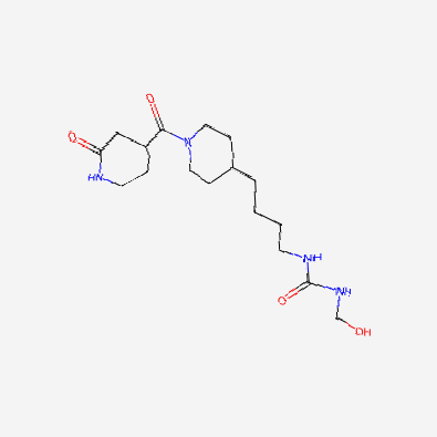 O=C1CC(C(=O)N2CCC(CCCCNC(=O)NCO)CC2)CCN1